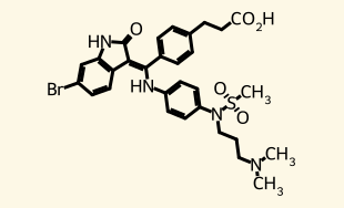 CN(C)CCCN(c1ccc(NC(=C2C(=O)Nc3cc(Br)ccc32)c2ccc(CCC(=O)O)cc2)cc1)S(C)(=O)=O